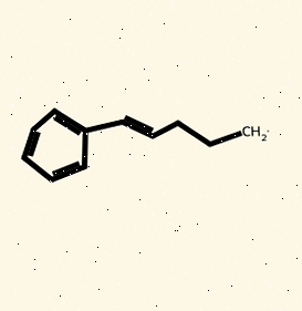 [CH2]CCC=Cc1[c]cccc1